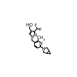 Cc1nc(N2CC3CC3C2)ccc1Cn1cc(CO)c(C(F)F)n1